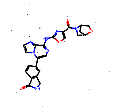 O=C1NCc2cc(-c3cnc(Nc4nc(C(=O)N5CC6CC5CO6)co4)c4nccn34)ccc21